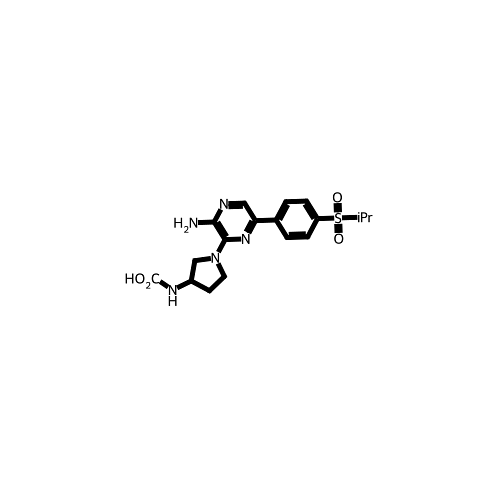 CC(C)S(=O)(=O)c1ccc(-c2cnc(N)c(N3CCC(NC(=O)O)C3)n2)cc1